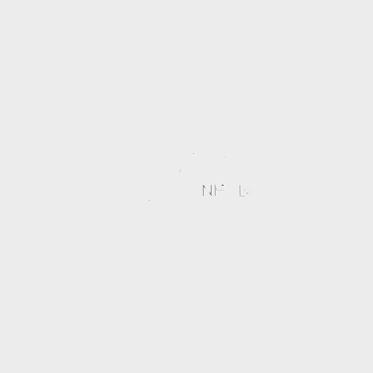 Brc1ccc(C2CCCC2)[nH]1